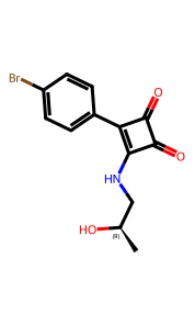 C[C@@H](O)CNc1c(-c2ccc(Br)cc2)c(=O)c1=O